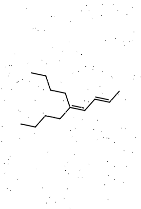 CC=CC=C(CCCC)CCCC